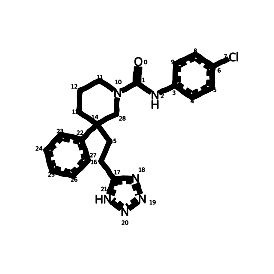 O=C(Nc1ccc(Cl)cc1)N1CCCC(CCc2nnn[nH]2)(c2ccccc2)C1